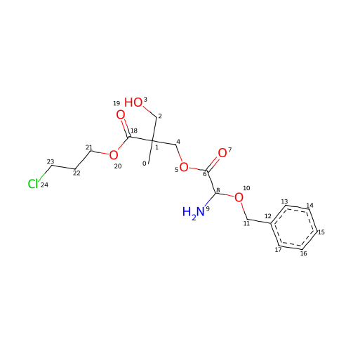 CC(CO)(COC(=O)C(N)OCc1ccccc1)C(=O)OCCCCl